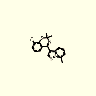 Cc1cccc2c(C3=NC(C)(C)Sc4c(F)cccc43)cnn12